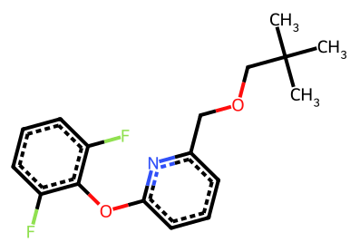 CC(C)(C)COCc1cccc(Oc2c(F)cccc2F)n1